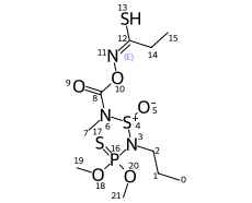 CCCN([S+]([O-])N(C)C(=O)O/N=C(/S)CC)P(=S)(OC)OC